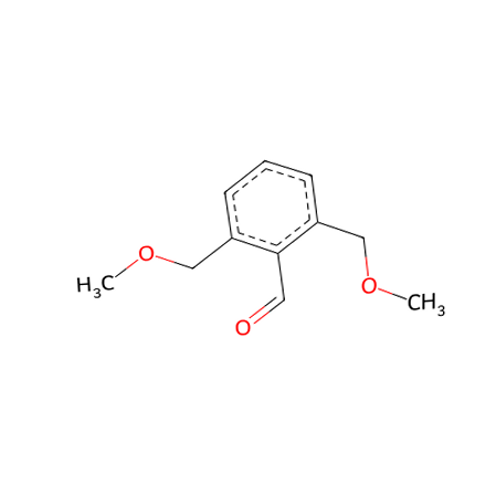 COCc1cccc(COC)c1C=O